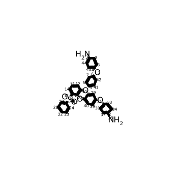 Nc1ccc(Oc2ccc(Oc3cccc(S(=O)(=O)c4ccccc4)c3Oc3ccc(Oc4ccc(N)cc4)cc3)cc2)cc1